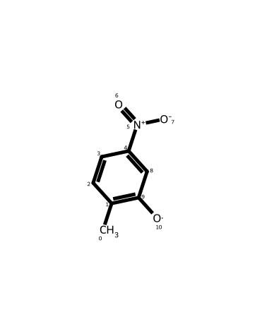 Cc1ccc([N+](=O)[O-])cc1[O]